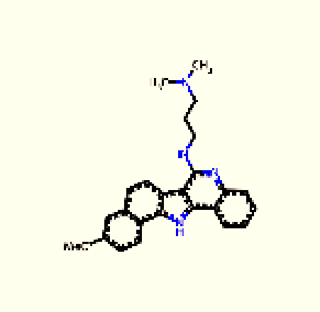 COc1ccc2c(ccc3c2[nH]c2c4ccccc4nc(NCCCN(C)C)c32)c1